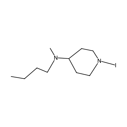 CCCCN(C)C1CCN(I)CC1